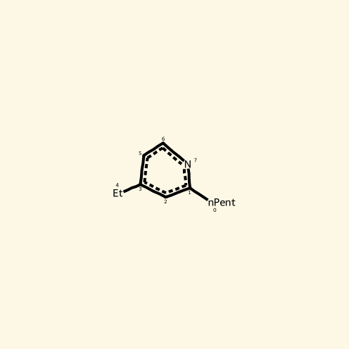 CCCCCc1cc(CC)ccn1